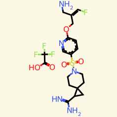 N=C(N)C1CC12CCN(S(=O)(=O)c1ccc(OC/C(=C\F)CN)nc1)CC2.O=C(O)C(F)(F)F